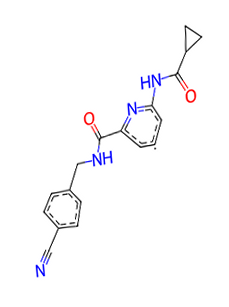 N#Cc1ccc(CNC(=O)c2c[c]cc(NC(=O)C3CC3)n2)cc1